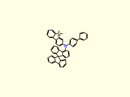 C[Si]1(C)c2ccccc2-c2ccc(N(c3ccc(-c4ccccc4)cc3)c3cccc4c3-c3ccccc3C43c4ccccc4-c4ccccc43)cc21